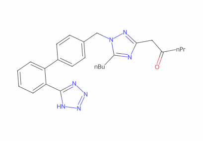 CCCCc1nc(CC(=O)CCC)nn1Cc1ccc(-c2ccccc2-c2nnn[nH]2)cc1